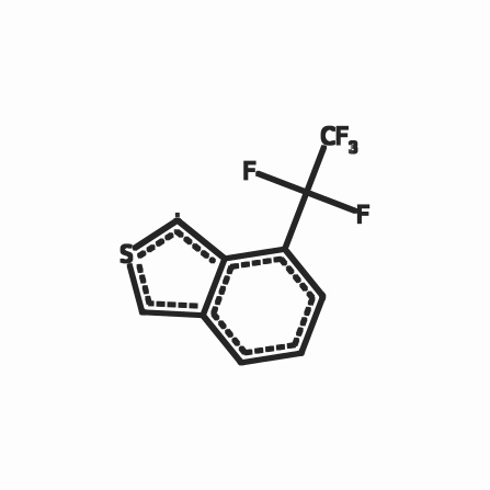 FC(F)(F)C(F)(F)c1cccc2cs[c]c12